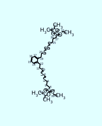 CCO[Si](CCCSSSSCCc1ccccc1CCSSSSCCC[Si](OCC)(OCC)OCC)(OCC)OCC